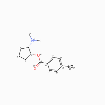 CN(C)[C@H]1CCC[C@H]1OC(=O)c1ccc([N+](=O)[O-])cc1